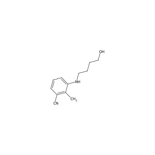 Cc1c(C#N)cccc1NCCCCO